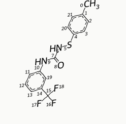 Cc1ccc(SNC(=O)Nc2cccc(C(F)(F)F)c2)cc1